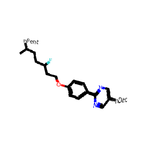 CCCCCCCCCCc1cnc(-c2ccc(OCCC(F)CCC(C)CCCCC)cc2)nc1